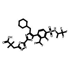 CC(NS(=O)(=O)c1ccc(-c2sc(-c3nnc(CC(C)(C)C(=O)O)o3)nc2CC2CCCCC2)c(C(F)F)c1F)C(F)(F)F